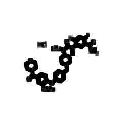 CCCCN(C(=O)Nc1cc(C(N)=O)c(F)cc1F)C1CCN(Cc2ccc(Oc3ccc(C(=O)N4CCOCC4)cc3OC)cc2)CC1.Cl